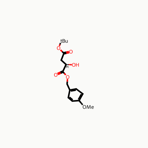 COc1ccc(COC(=O)[C@H](O)CC(=O)OC(C)(C)C)cc1